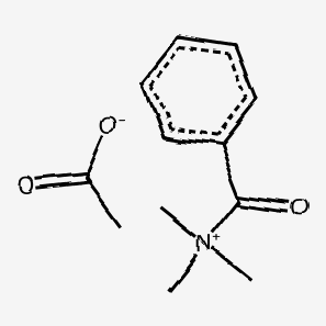 CC(=O)[O-].C[N+](C)(C)C(=O)c1ccccc1